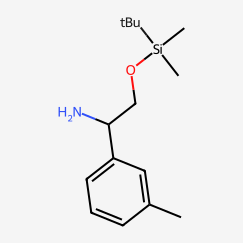 Cc1cccc(C(N)CO[Si](C)(C)C(C)(C)C)c1